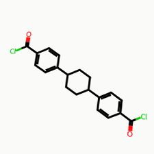 O=C(Cl)c1ccc(C2CCC(c3ccc(C(=O)Cl)cc3)CC2)cc1